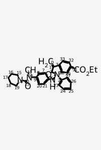 C=C1C(=O)[N+](Nc2ccc(N(C)C(=O)N3CCCCC3)cc2)(c2ccccc2)c2cc(C(=O)OCC)ccc21